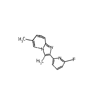 Cc1ccc2nc(-c3cccc(F)n3)c(C)n2c1